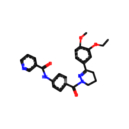 CCOc1cc(C2=NN(C(=O)c3ccc(NC(=O)c4cccnc4)cc3)CCC2)ccc1OC